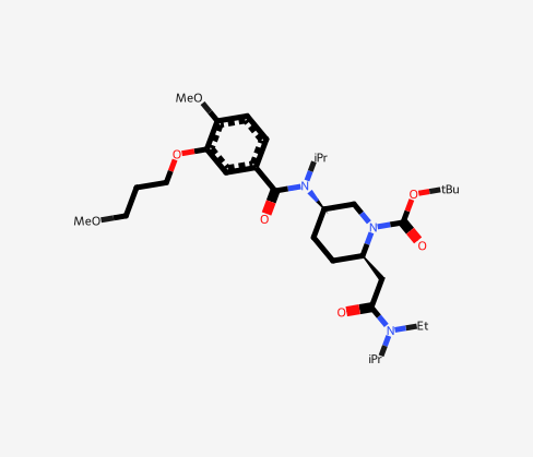 CCN(C(=O)C[C@H]1CC[C@@H](N(C(=O)c2ccc(OC)c(OCCCOC)c2)C(C)C)CN1C(=O)OC(C)(C)C)C(C)C